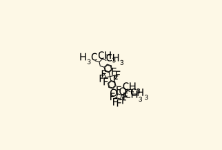 CCC(C)C(CC)Cc1cccc(C(c2ccc(OC3(F)C(F)(F)C(F)(F)C3(F)OC(C)(C)CC)cc2)(C(F)(F)F)C(F)(F)F)c1